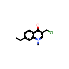 CCc1ccc2c(=O)c(CCl)cn(C)c2c1